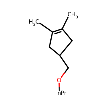 CCCOCC1CC(C)=C(C)C1